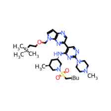 CCC(C)CS(=O)(=O)N1C[C@@H](C)C[C@H](Nc2nc(N3CCN(C)CC3)ncc2-c2cnc3ccn(COCC[Si](C)(C)C)c3n2)C1